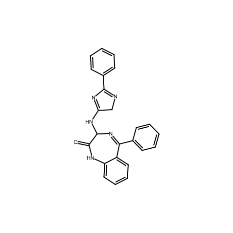 O=C1Nc2ccccc2C(c2ccccc2)=NC1NC1=NC(c2ccccc2)=NC1